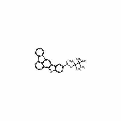 CC(C)(O)C(C)(C)OBc1ccc2oc3c4cccc5c4c(cc3c2c1)-c1ccccc1-5